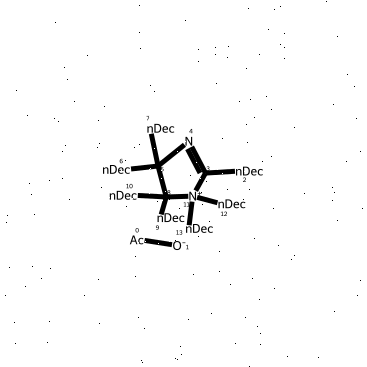 CC(=O)[O-].CCCCCCCCCCC1=NC(CCCCCCCCCC)(CCCCCCCCCC)C(CCCCCCCCCC)(CCCCCCCCCC)[N+]1(CCCCCCCCCC)CCCCCCCCCC